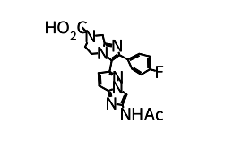 CC(=O)Nc1cn2nc(-c3c(-c4ccc(F)cc4)nc4n3CCN(C(=O)O)C4)ccc2n1